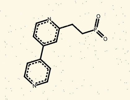 O=P(=O)CCc1cc(-c2ccncc2)ccn1